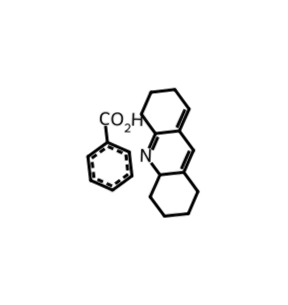 C1=C2C=C3CCCCC3N=C2CCC1.O=C(O)c1ccccc1